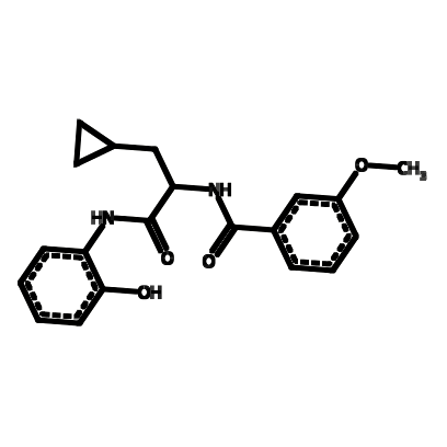 COc1cccc(C(=O)NC(CC2CC2)C(=O)Nc2ccccc2O)c1